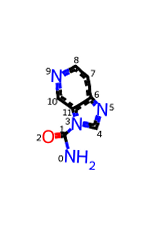 NC(=O)n1cnc2ccncc21